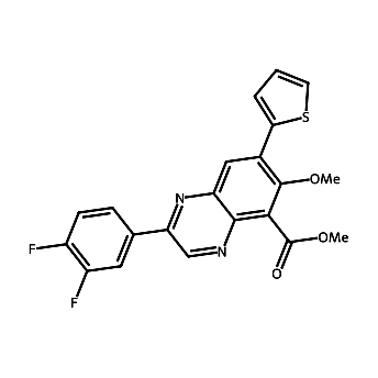 COC(=O)c1c(OC)c(-c2cccs2)cc2nc(-c3ccc(F)c(F)c3)cnc12